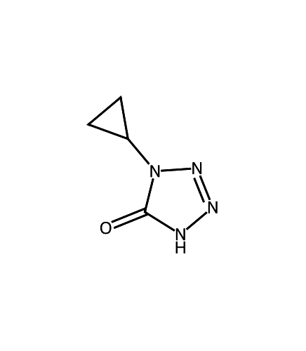 O=c1[nH]nnn1C1CC1